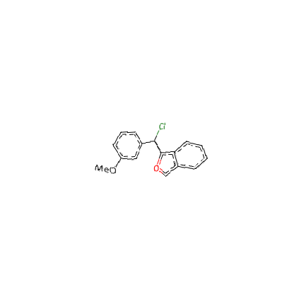 COc1cccc(C(Cl)c2occ3ccccc23)c1